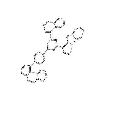 c1ccc2c(-c3nc(-c4ccc(-c5cccc6ccc7ccccc7c56)cc4)nc(-c4cccc5c4oc4ccccc45)n3)cccc2c1